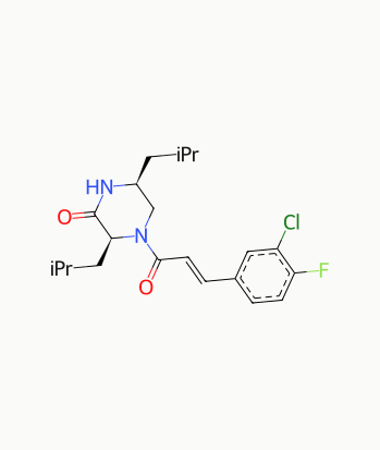 CC(C)C[C@H]1CN(C(=O)/C=C/c2ccc(F)c(Cl)c2)[C@@H](CC(C)C)C(=O)N1